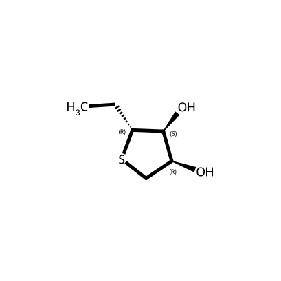 CC[C@H]1SC[C@H](O)[C@@H]1O